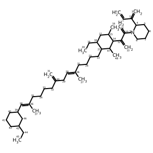 C=CC(=C)C1CCCCN1C(=C)C(=C)C1C(C)CC(CC)C(CCCC/C(C)=C/CC(=C)CCCC/C(C)=C/C2CCCC(CC)C2)C1C